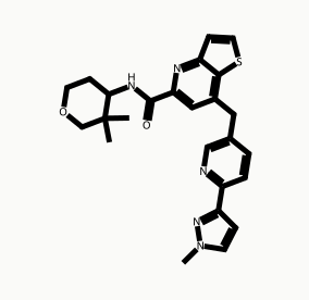 Cn1ccc(-c2ccc(Cc3cc(C(=O)NC4CCOCC4(C)C)nc4ccsc34)cn2)n1